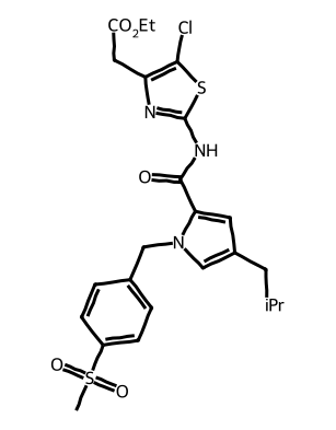 CCOC(=O)Cc1nc(NC(=O)c2cc(CC(C)C)cn2Cc2ccc(S(C)(=O)=O)cc2)sc1Cl